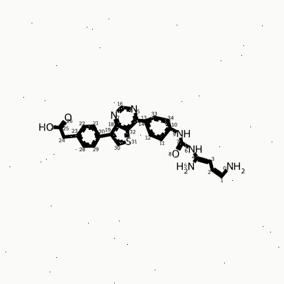 N/C=C\C=C(/N)NC(=O)Nc1ccc(-c2ncnc3c(-c4ccc(CC(=O)O)cc4)csc23)cc1